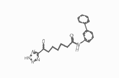 O=C(CCCCCC(=O)c1nn[nH]n1)Nc1cccc(-c2ccccc2)c1